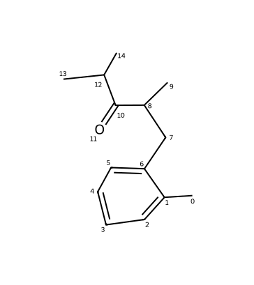 Cc1ccccc1CC(C)C(=O)C(C)C